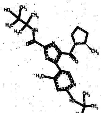 Cc1cc(NC(C)(C)C)ncc1-c1sc(C(=O)NC(C)(C)C(C)(C)O)nc1C(=O)N1CCC[C@@H]1C